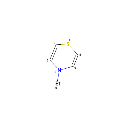 CCN1C=CSC=C1